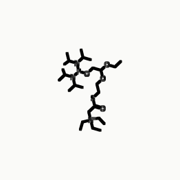 CCOC(COP(N(C(C)C)C(C)C)N(C(C)C)C(C)C)OCCSC(=O)C[N+](CC)(CC)CC